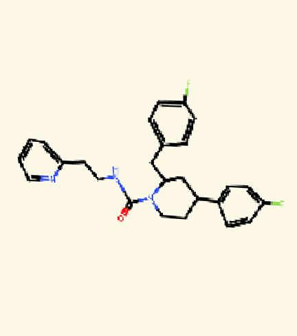 O=C(NCCc1ccccn1)N1CCC(c2ccc(F)cc2)CC1Cc1ccc(F)cc1